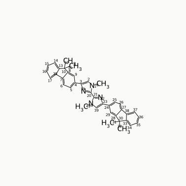 Cn1cc(-c2ccc3c(c2)C(C)(C)c2ccccc2-3)nc1-c1nc(-c2ccc3c(c2)C(C)(C)c2ccccc2-3)cn1C